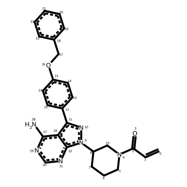 C=CC(=O)N1CCCC(n2nc(-c3ccc(OCc4ccccc4)cc3)c3c(N)ncnc32)C1